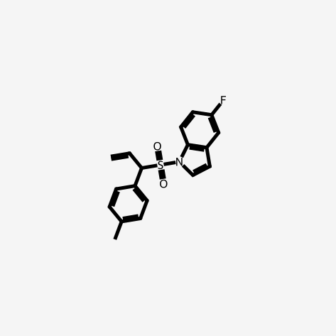 C=CC(c1ccc(C)cc1)S(=O)(=O)n1ccc2cc(F)ccc21